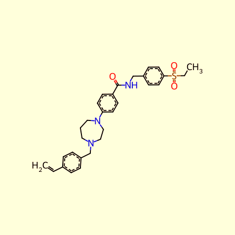 C=Cc1ccc(CN2CCCN(c3ccc(C(=O)NCc4ccc(S(=O)(=O)CC)cc4)cc3)CC2)cc1